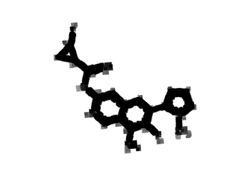 Cn1cccc1-c1cc2cc(OC(=N)C3CC3F)ncc2c(N)c1F